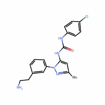 CC(C)(C)c1cc(NC(=O)Nc2ccc(Cl)cc2)n(-c2cccc(CCN)c2)n1